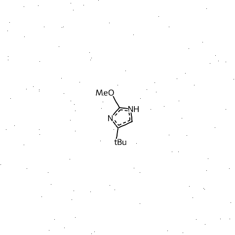 COc1nc(C(C)(C)C)c[nH]1